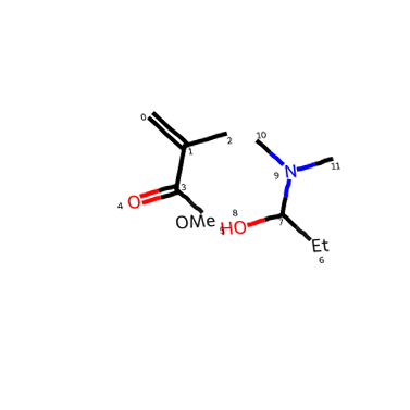 C=C(C)C(=O)OC.CCC(O)N(C)C